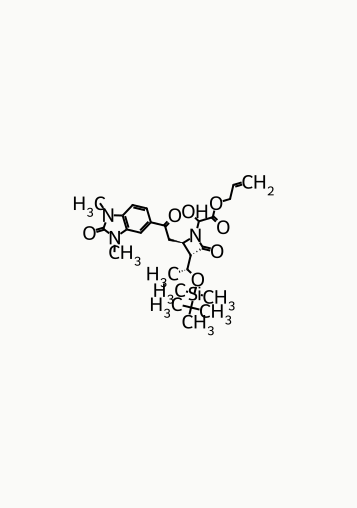 C=CCOC(=O)C(O)N1C(=O)[C@H]([C@@H](C)O[Si](C)(C)C(C)(C)C)[C@H]1CC(=O)c1ccc2c(c1)n(C)c(=O)n2C